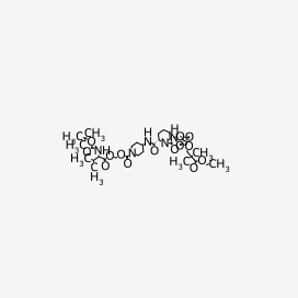 CCOC(=O)C(C)(C)COS(=O)(=O)ON1C(=O)N2C[C@H]1CC[C@H]2C(=O)NC1CCN(C(=O)OCOC(=O)[C@@H](NC(=O)OC(C)(C)C)C(C)C)CC1